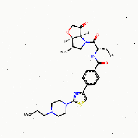 COCCN1CCN(c2nc(-c3ccc(C(=O)N[C@@H](CC(C)C)C(=O)N4C[C@@H](OC)[C@H]5OCC(=O)[C@H]54)cc3)cs2)CC1